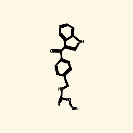 CC(C)(C)OC(=O)NCc1ccc(C(=O)c2c[nH]c3ccccc23)cc1